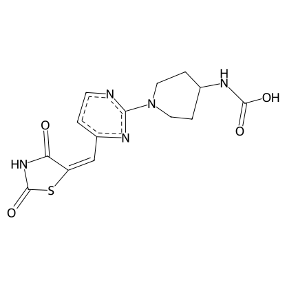 O=C(O)NC1CCN(c2nccc(C=C3SC(=O)NC3=O)n2)CC1